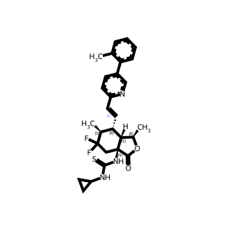 Cc1ccccc1-c1ccc(/C=C/[C@@H]2[C@@H]3[C@@H](C)OC(=O)[C@]3(NC(=S)NC3CC3)CC(F)(F)[C@H]2C)nc1